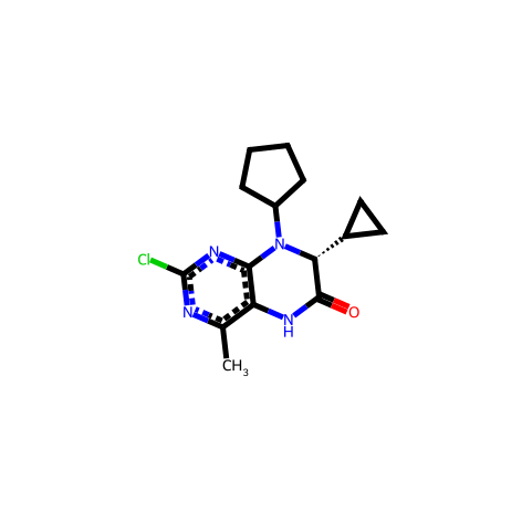 Cc1nc(Cl)nc2c1NC(=O)[C@@H](C1CC1)N2C1CCCC1